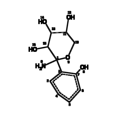 NC1(c2ccccc2O)OCC(O)C(O)C1O